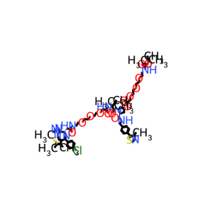 Cc1ncsc1-c1ccc(CNC(=O)[C@@H]2C[C@@H](OC(=O)COCCOCCOCCNC(=O)OC(C)(C)C)CN2C(=O)[C@@H](NC(=O)COCCOCCOCCNC(=O)C[C@@H]2N=C(c3ccc(Cl)cc3)c3c(sc(C)c3C)-n3c(C)nnc32)C(C)(C)C)cc1